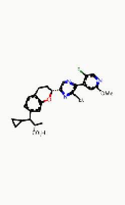 CCc1nc([C@H]2CCc3ccc([C@H](C4CC4)[C@H](C)C(=O)O)cc3O2)cnc1-c1cc(OC)ncc1F